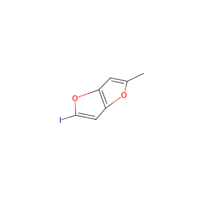 Cc1cc2oc(I)cc2o1